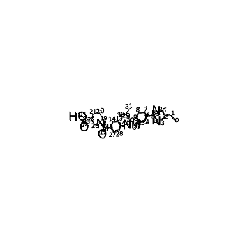 CCc1cnc(-c2ccc(C(Nc3ccc(C(=O)N4CCC[C@@H](C(=O)O)C4)cc3)C(C)C)c(C)c2)nc1